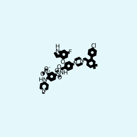 CN1CCC(Nc2ccc(S(=O)(=O)NC(=O)c3ccc(N4CCN(CC5=C(c6ccc(Cl)cc6)CC(C)(C)CC5)CC4)cc3Oc3cc(F)cc4[nH]ccc34)cc2[N+](=O)[O-])CC1